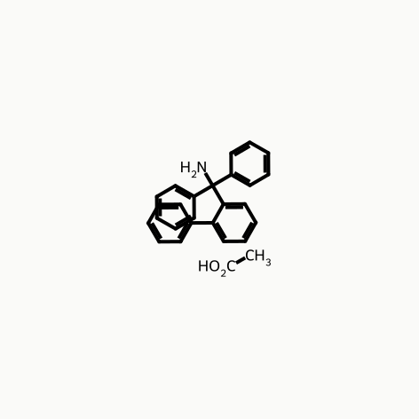 CC(=O)O.NC(c1ccccc1)(c1ccccc1)c1ccccc1-c1ccccc1